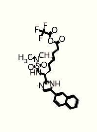 CN(C)S(=O)(=O)N[C@@H](CCCCCC(=O)OC(=O)C(F)(F)F)C1=[N+]C=C(c2ccc3ccccc3c2)N1